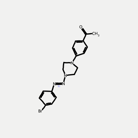 CC(=O)c1ccc(N2CCN(/N=N/c3ccc(Br)cc3)CC2)cc1